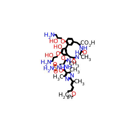 C=C/C(=C\C=C(/C)c1nc(C)c(C(=O)N[C@@H](CNS(N)(=O)=O)C(=O)N(C)[C@@H]2C(=O)N[C@@H](C)C(=O)N[C@H](C(=O)O)Cc3ccc(OC[C@H](O)CN)c(c3)-c3cc2cc(OC[C@H](O)CN)c3O)c(C)n1)OC(C)C